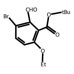 CCOc1ccc(Br)c(C=O)c1C(=O)OC(C)(C)C